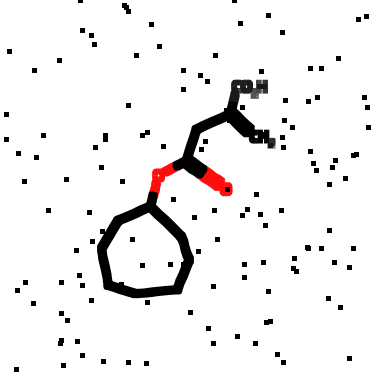 C=C(CC(=O)OC1CCCCCCC1)C(=O)O